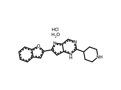 Cl.O.c1ccc2oc(-c3cc4[nH]c(C5CCNCC5)ncc-4n3)cc2c1